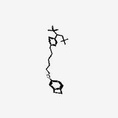 CC(C)(C)CC(c1ccc(CCCCCCOc2ccc3c(c2)CC3)cc1)C(C)(C)C